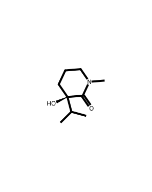 CC(C)[C@]1(O)CCCN(C)C1=O